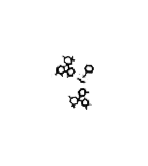 Cc1cc(C2(c3ccc(Oc4cc(Oc5ccc(C6(c7ccc(O)c(C)c7)CC(C)CC(C)(C)C6)cc5C)nc(-c5ccccc5)n4)c(C)c3)CC(C)CC(C)(C)C2)ccc1O